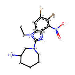 CCn1c(N2CCCCC(N)C2)nc2c([N+](=O)[O-])c(Br)c(Br)cc21